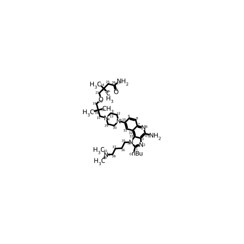 CCCCc1nc2c(N)nc3ccc(N4CCN(CC(C)(C)COCC(C)(C)CC(N)=O)CC4)cc3c2n1CCCCN(C)C